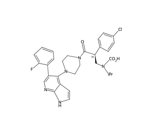 CC(C)N(C[C@@H](C(=O)N1CCN(c2c(-c3ccccc3F)cnc3[nH]ccc23)CC1)c1ccc(Cl)cc1)C(=O)O